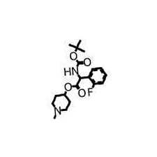 CN1CCC(OC(=O)C(NC(=O)OC(C)(C)C)c2ccccc2F)CC1